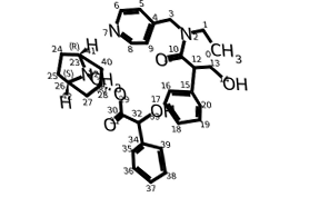 CCN(Cc1ccncc1)C(=O)C(CO)c1ccccc1.CN1[C@@H]2CC[C@H]1C[C@@H](OC(=O)C(O)c1ccccc1)C2